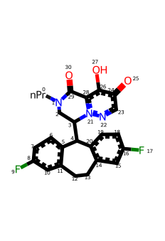 CCCN1CC(C2c3ccc(F)cc3CCc3cc(F)ccc32)n2ncc(=O)c(O)c2C1=O